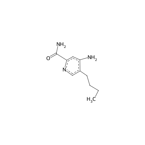 CCCCc1cnc(C(N)=O)cc1N